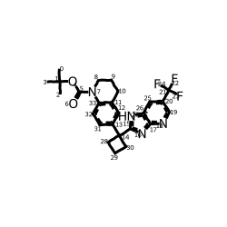 CC(C)(C)OC(=O)N1CCCc2cc(C3(c4nc5ncc(C(F)(F)F)cc5[nH]4)CCC3)ccc21